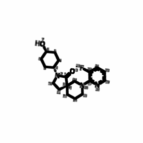 O=C1N([C@H]2CC[C@H](O)CC2)CC[C@@]12CCCN(c1ncccc1F)C2